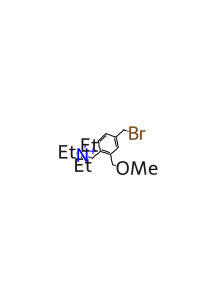 CC[N+](CC)(CC)Cc1ccc(CBr)cc1COC